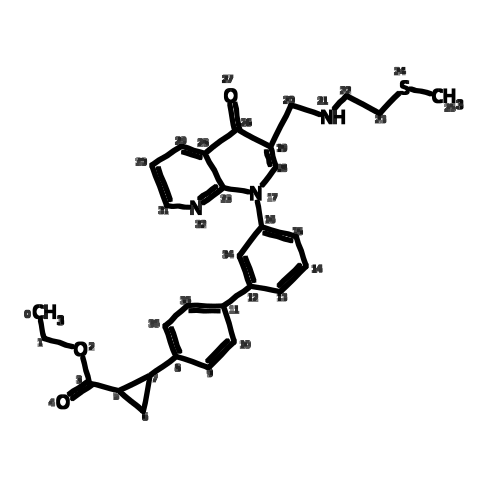 CCOC(=O)C1CC1c1ccc(-c2cccc(-n3cc(CNCCSC)c(=O)c4cccnc43)c2)cc1